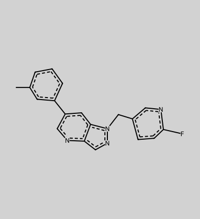 Cc1cccc(-c2cnc3cnn(Cc4ccc(F)nc4)c3c2)c1